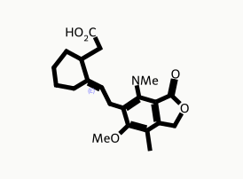 CNc1c(C/C=C2\CCCCC2CC(=O)O)c(OC)c(C)c2c1C(=O)OC2